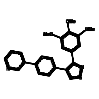 COc1cc(-c2nscc2-c2ccc(-c3cccnc3)cc2)cc(OC)c1OC